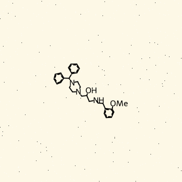 COc1ccccc1CCNCC(O)CN1CCN(C(c2ccccc2)c2ccccc2)CC1